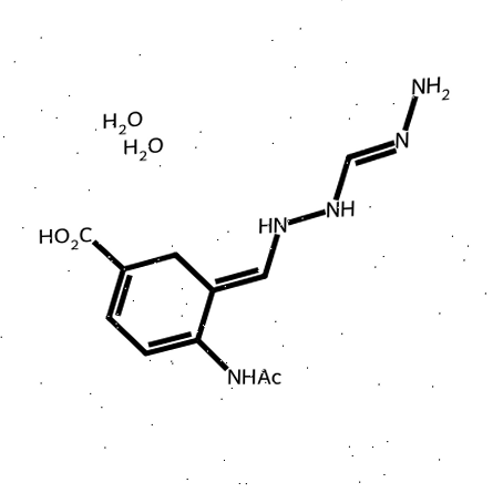 CC(=O)NC1=CC=C(C(=O)O)CC1=CNNC=NN.O.O